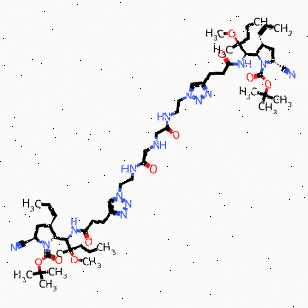 C/C=C\[C@@H]1C[C@H](C#N)N(C(=O)OC(C)(C)C)[C@H]1[C@@H](NC(=O)CCc1cn(CCNC(=O)CNCC(=O)NCCn2cc(CCC(=O)N[C@H]([C@H]3[C@H](/C=C\C)C[C@H](C#N)N3C(=O)OC(C)(C)C)C(C)(CCC)OC)nn2)nn1)C(C)(CCC)OC